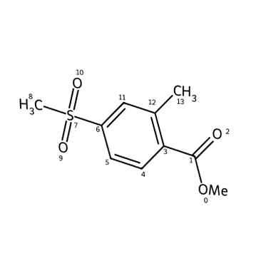 COC(=O)c1ccc(S(C)(=O)=O)cc1C